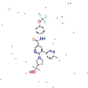 Cc1ccc(-c2cc(C(=O)Nc3ccc(OC(F)(F)F)cc3)cnc2N2CCC(C(C)(C)O)C2)cn1